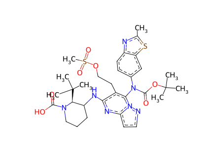 Cc1nc2ccc(N(C(=O)OC(C)(C)C)c3c(CCOS(C)(=O)=O)c(NC4CCCN(C(=O)O)[C@H]4C(C)(C)C)nc4ccnn34)cc2s1